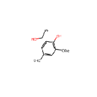 CC(C)CO.COc1cc(C=O)ccc1O